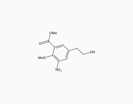 COC(=O)c1cc(CCO)cc([N+](=O)[O-])c1OC